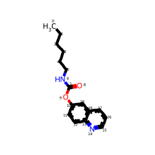 CCCCCCNC(=O)Oc1ccc2ncccc2c1